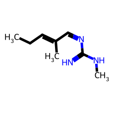 CC/C=C(C)/C=N\C(=N)NC